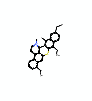 Cc1c2c(c(CC(C)(C)C)c3ccc(CC(C)C)cc13)Sc1cc3c(CC(C)C)cccc3c3cc[n+](C)c-2c13